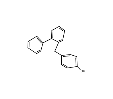 Oc1ccc(Cc2ccccc2-c2ccccc2)cc1